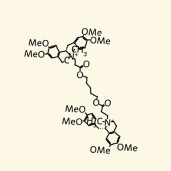 COc1ccc(C[C@@H]2c3cc(OC)c(OC)cc3CC[N@@+]2(C)CCC(=O)OCCCCCOC(=O)CC[N+]2(C)CCc3cc(OC)c(OC)cc3[C@@H]2Cc2ccc(OC)c(OC)c2)cc1OC